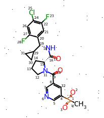 CS(=O)(=O)c1cncc(C(=O)N2CCC[C@@H]2C(=O)N[C@@H](c2cc(F)c(Cl)cc2F)C2CC2)c1